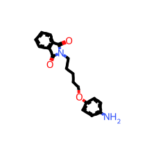 Nc1ccc(OCCCCCN2C(=O)c3ccccc3C2=O)cc1